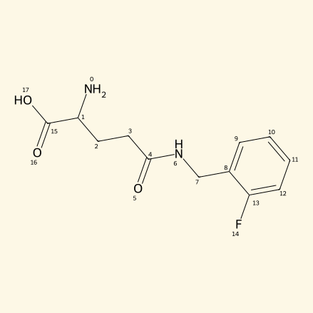 NC(CCC(=O)NCc1ccccc1F)C(=O)O